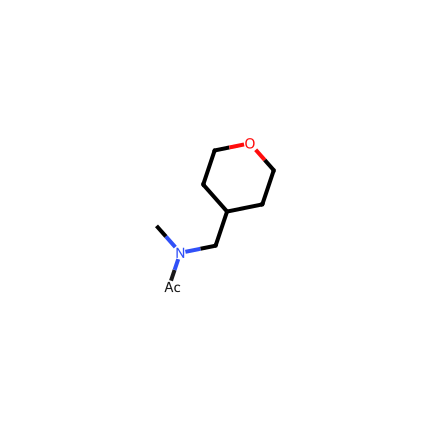 CC(=O)N(C)CC1CCOCC1